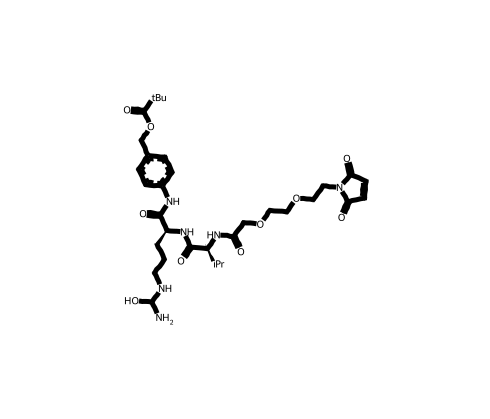 CC(C)[C@H](NC(=O)COCCOCCN1C(=O)C=CC1=O)C(=O)N[C@@H](CCCNC(N)O)C(=O)Nc1ccc(COC(=O)C(C)(C)C)cc1